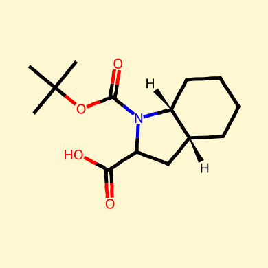 CC(C)(C)OC(=O)N1C(C(=O)O)C[C@H]2CCCC[C@H]21